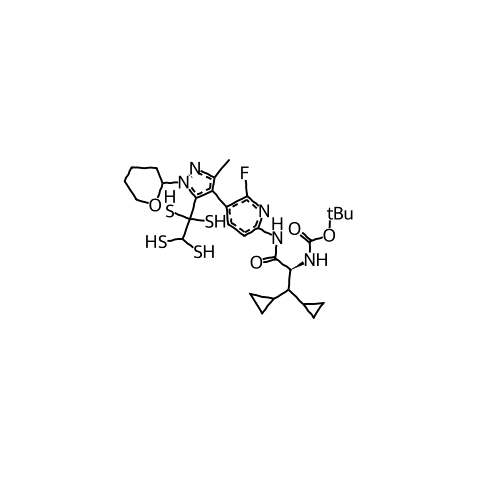 Cc1nn(C2CCCCO2)c(C(S)(S)C(S)S)c1-c1ccc(NC(=O)[C@@H](NC(=O)OC(C)(C)C)C(C2CC2)C2CC2)nc1F